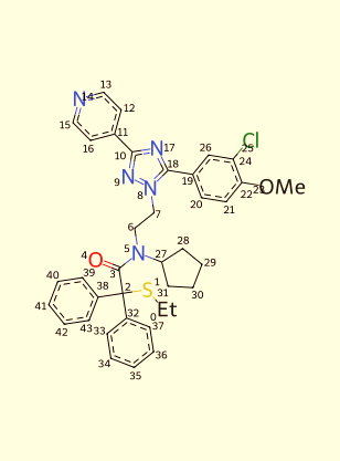 CCSC(C(=O)N(CCn1nc(-c2ccncc2)nc1-c1ccc(OC)c(Cl)c1)C1CCCC1)(c1ccccc1)c1ccccc1